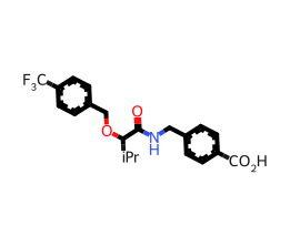 CC(C)C(OCc1ccc(C(F)(F)F)cc1)C(=O)NCc1ccc(C(=O)O)cc1